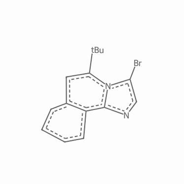 CC(C)(C)c1cc2ccccc2c2ncc(Br)n12